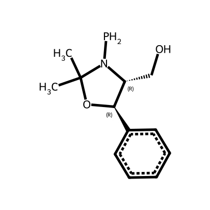 CC1(C)O[C@H](c2ccccc2)[C@@H](CO)N1P